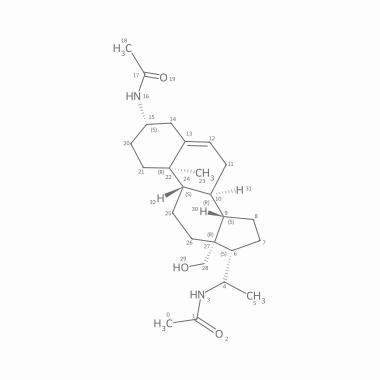 CC(=O)NC(C)[C@H]1CC[C@H]2[C@@H]3CC=C4C[C@@H](NC(C)=O)CC[C@]4(C)[C@H]3CC[C@]12CO